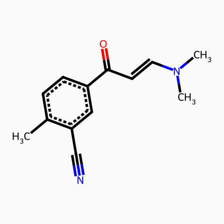 Cc1ccc(C(=O)C=CN(C)C)cc1C#N